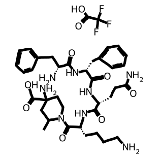 CC1CC(N)(C(=O)O)CCN1C(=O)[C@@H](CCCCN)NC(=O)[C@@H](CCC(N)=O)NC(=O)[C@@H](Cc1ccccc1)NC(=O)[C@H](N)Cc1ccccc1.O=C(O)C(F)(F)F